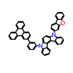 c1cc(-c2ccc3c4ccccc4c4ccccc4c3c2)cc(-n2c3ccccc3c3c4c5ccccc5n(-c5ccc6c(c5)oc5ccccc56)c4ccc32)c1